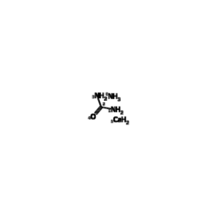 N.NC(N)=O.[CaH2]